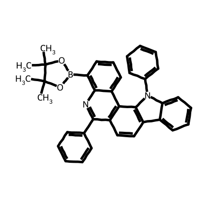 CC1(C)OB(c2cccc3c2nc(-c2ccccc2)c2ccc4c5ccccc5n(-c5ccccc5)c4c23)OC1(C)C